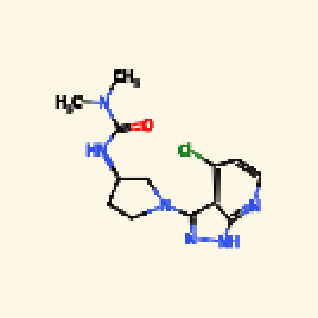 CN(C)C(=O)N[C@@H]1CCN(c2n[nH]c3nccc(Cl)c23)C1